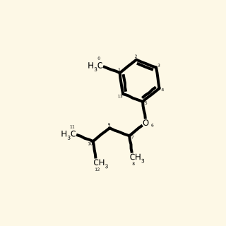 Cc1cccc(OC(C)CC(C)C)c1